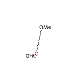 [CH2]OCCCCCCCCCCO[C]=O